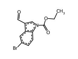 CCOC(=O)n1cc(C=O)c2cc(Br)ccc21